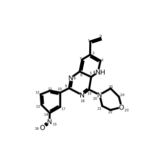 C=CC1=CNC2C(=C1)N=C(c1cccc(N=O)c1)N=C2N1CCOCC1